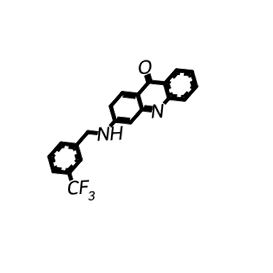 O=C1C2=CCC(NCc3cccc(C(F)(F)F)c3)=CC2=Nc2ccccc21